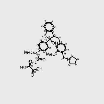 COc1cc(CC2c3ccccc3SC2(O)c2ccc(N(OC)C(=O)C=O)cc2)ccc1CN1CCCC1.O=C(O)C(=O)O